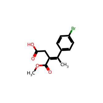 COC(=O)/C(CC(=O)O)=C(\C)c1ccc(Br)cc1